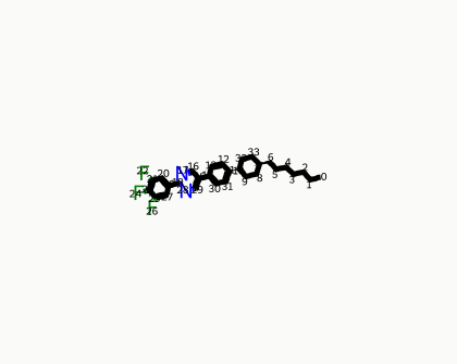 CCCCCCC[C@H]1CC[C@H](c2ccc(-c3cnc(-c4cc(F)c(F)c(F)c4)nc3)cc2)CC1